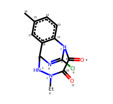 CCN1NC2N=C(Cl)N(C(=O)C1=O)c1ccc(C)cc12